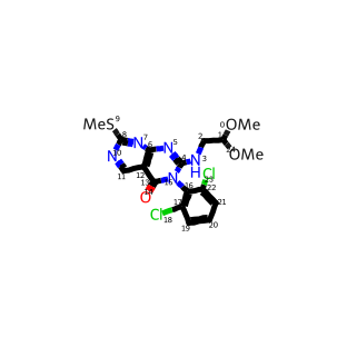 COC(CNc1nc2nc(SC)ncc2c(=O)n1-c1c(Cl)cccc1Cl)OC